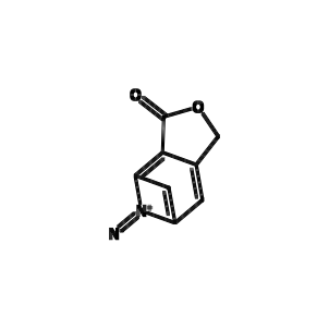 [N-]=[n+]1c2cc3c(c1c2)C(=O)OC3